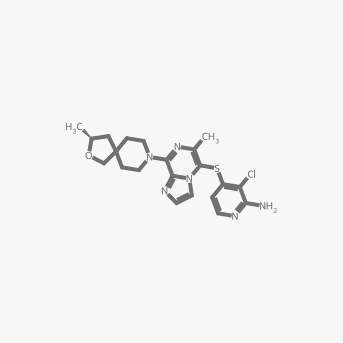 Cc1nc(N2CCC3(CC2)CO[C@@H](C)C3)c2nccn2c1Sc1ccnc(N)c1Cl